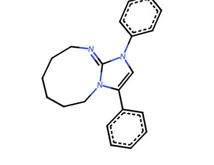 C1=C(c2ccccc2)N2CCCCCC/N=C\2N1c1ccccc1